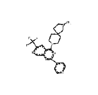 CN1CCC2(CCN(c3nc(-c4ccncc4)nc4cnc(C(F)(F)F)cc34)CC2)C1